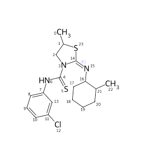 CC1CN(C(=S)Nc2cccc(Cl)c2)/C(=N\C2CCCCC2C)S1